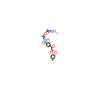 Cc1ccc(S(=O)(=O)CCC(=O)c2ccc(C(=O)NCC(C)(C)COCC(C)(C)CN)cc2)cc1